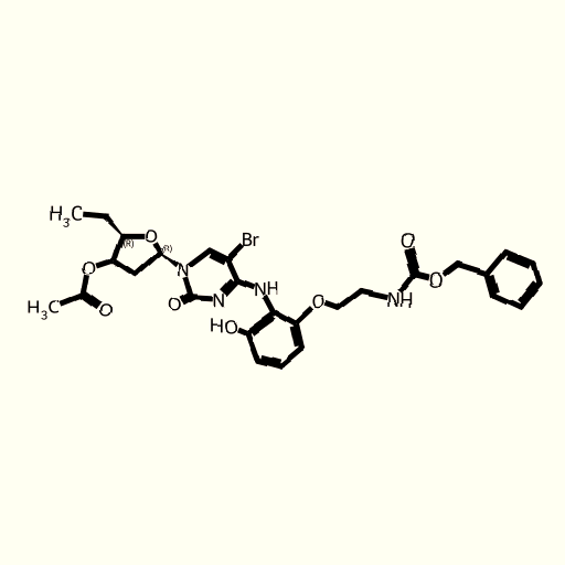 CC[C@H]1O[C@@H](n2cc(Br)c(Nc3c(O)cccc3OCCNC(=O)OCc3ccccc3)nc2=O)CC1OC(C)=O